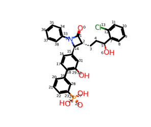 O=C1[C@H](CC[C@H](O)c2ccccc2Cl)[C@@H](c2ccc(-c3cccc(P(=O)(O)O)c3)c(O)c2)N1c1ccccc1